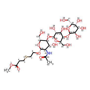 COC(=O)CCSCCO[C@@H]1O[C@H](CO)[C@@H](O[C@@H]2O[C@H](CO)[C@H](O[C@H]3O[C@H](CO)[C@H](O)[C@H](O)[C@H]3O)[C@H](O)[C@H]2O)[C@H](O)[C@H]1NC(C)=O